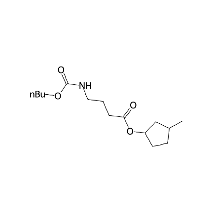 CCCCOC(=O)NCCCC(=O)OC1CCC(C)C1